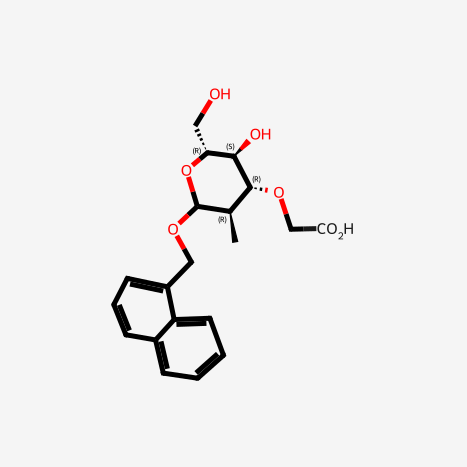 C[C@H]1C(OCc2cccc3ccccc23)O[C@H](CO)[C@@H](O)[C@@H]1OCC(=O)O